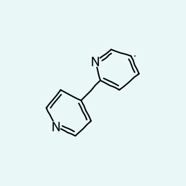 [c]1ccc(-c2ccncc2)nc1